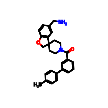 Bc1ccc(-c2cccc(C(=O)N3CCC4(CC3)COc3ccc(CN)cc34)c2)cc1